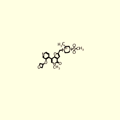 C[C@@H]1CN(S(C)(=O)=O)CCN1Cc1cc2c(=O)n(C)cc(-c3ccncc3OC3COC3)c2o1